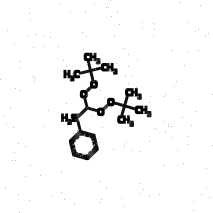 CC(C)(C)OOC(OOC(C)(C)C)[SiH2]c1ccccc1